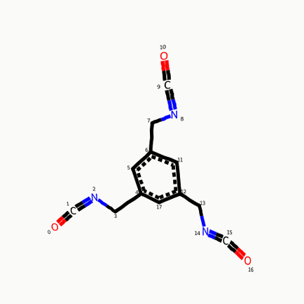 O=C=NCc1cc(CN=C=O)cc(CN=C=O)c1